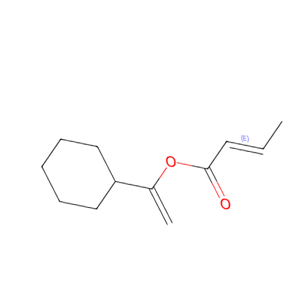 C=C(OC(=O)/C=C/C)C1CCCCC1